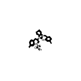 Cc1ccc(CC(CNS(=O)(=O)C(C)C)n2c(=N)n(Cc3ccc(C)cc3)c3ccccc32)cc1